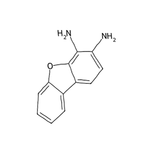 Nc1ccc2c(oc3ccccc32)c1N